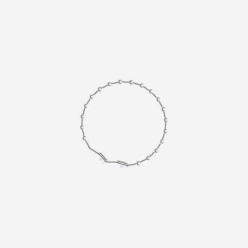 [C]1=C/C=C/CCCCCCCCCCCCCCCCCCCC/1